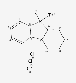 C[C]1([Ti+3])C2C=CC=CC2C2CCCCC21.[Cl-].[Cl-].[Cl-]